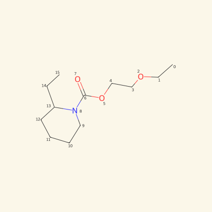 CCOCCOC(=O)N1CCCCC1CC